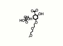 COCCOCCOc1ccc(I(=O)=O)c(O)c1.O=P(O)(O)O